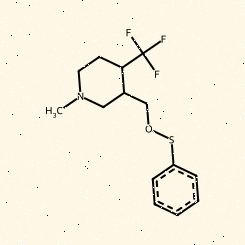 CN1CCC(C(F)(F)F)C(COSc2ccccc2)C1